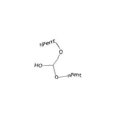 CCCCCOC(O)OCCCCC